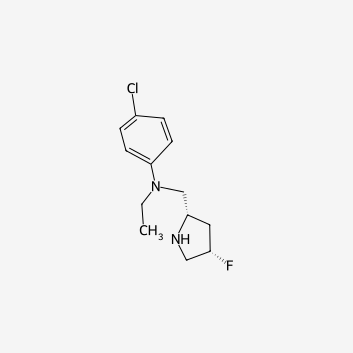 CCN(C[C@@H]1C[C@H](F)CN1)c1ccc(Cl)cc1